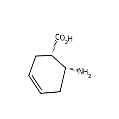 N[C@@H]1CC=CC[C@@H]1C(=O)O